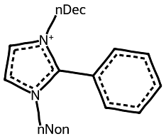 CCCCCCCCCC[n+]1ccn(CCCCCCCCC)c1-c1ccccc1